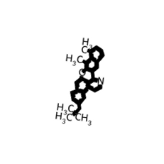 Cc1cccc2cc3c(c(C)c12)Oc1cc2ccc(CC(C)(C)C)cc2c2ccnc-3c12